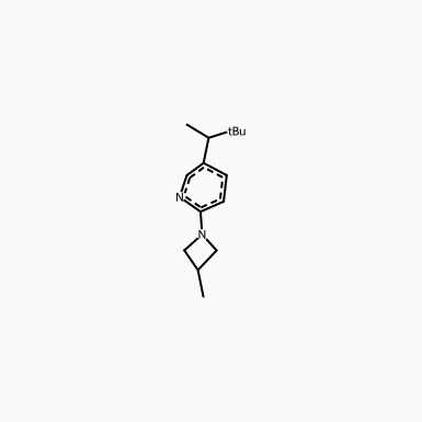 CC1CN(c2ccc(C(C)C(C)(C)C)cn2)C1